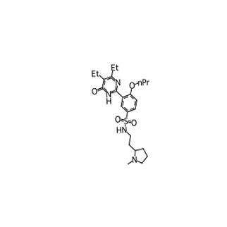 CCCOc1ccc(S(=O)(=O)NCCC2CCCN2C)cc1-c1nc(CC)c(CC)c(=O)[nH]1